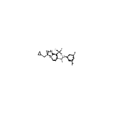 CC(Oc1cc(F)cc(F)c1)c1ccn2c(CC3CC3)nnc2c1C(F)(F)F